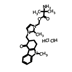 CC1N(COC(=O)C(C)(C)N)C=CN1CC1CCc2c(c3ccccc3n2C)C1=O.Cl.Cl